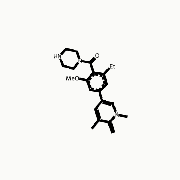 C=C1C(C)=CC(c2cc(CC)c(C(=O)N3CCNCC3)c(OC)c2)=CN1C